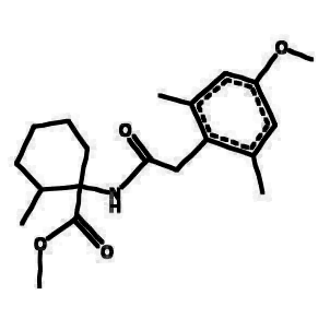 COC(=O)C1(NC(=O)Cc2c(C)cc(OC)cc2C)CCCCC1C